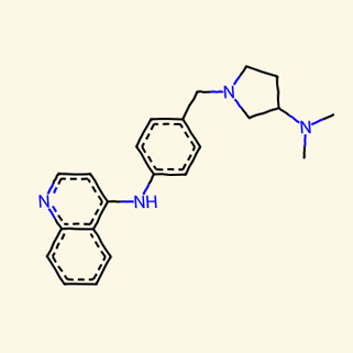 CN(C)C1CCN(Cc2ccc(Nc3ccnc4ccccc34)cc2)C1